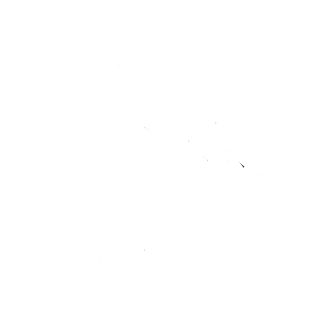 CC(C)(C)[S@+]([O-])NC(C#N)(c1cc(F)cc(OC(F)(F)C(F)F)c1)c1ccc(Cl)cn1